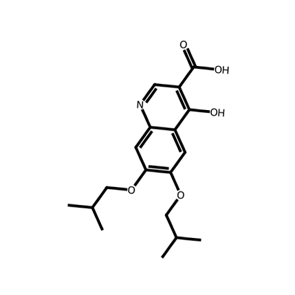 CC(C)COc1cc2ncc(C(=O)O)c(O)c2cc1OCC(C)C